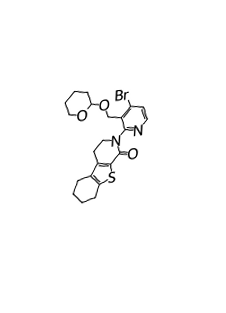 O=C1c2sc3c(c2CCN1c1nccc(Br)c1COC1CCCCO1)CCCC3